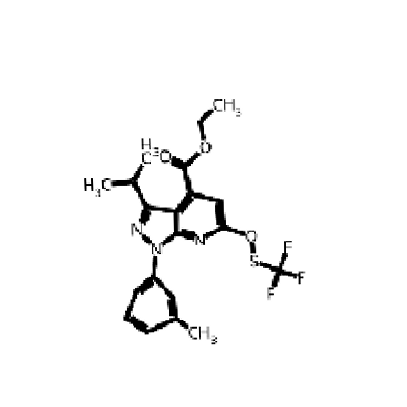 CCOC(=O)c1cc(OSC(F)(F)F)nc2c1c(C(C)C)nn2-c1cccc(C)c1